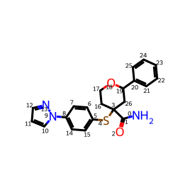 NC(=O)C1(Sc2ccc(-n3cccn3)cc2)CCOC(c2ccccc2)C1